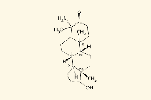 CC1(N)C(=O)CC[C@@]2(C)C1CC[C@@H]1[C@H]2CC[C@]2(C)C(O)CC[C@@H]12